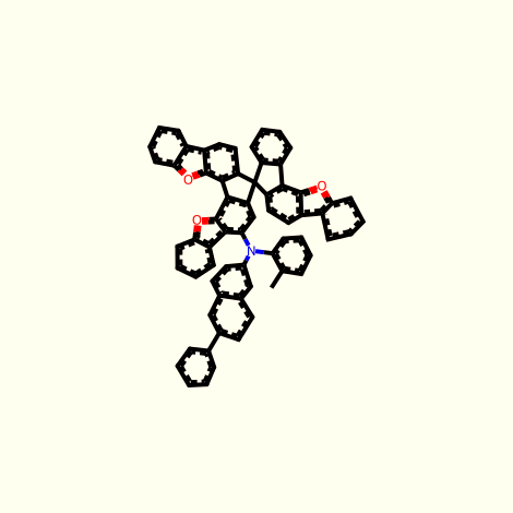 Cc1ccccc1N(c1ccc2cc(-c3ccccc3)ccc2c1)c1cc2c(c3oc4ccccc4c13)-c1c(ccc3c1oc1ccccc13)C21c2ccccc2-c2c1ccc1c2oc2ccccc21